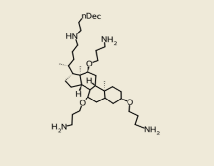 CCCCCCCCCCCCNCCC[C@@H](C)[C@H]1CC[C@H]2C3[C@H](OCCCN)CC4C[C@H](OCCCN)CC[C@]4(C)[C@H]3C[C@H](OCCCN)[C@]12C